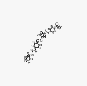 O=[N+]([O-])c1ccc(C=Cc2nc(COc3ccc(CCCCn4ccnn4)cc3)co2)cc1